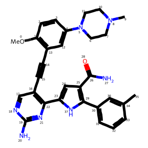 COc1ccc(N2CCN(C)CC2)cc1C#Cc1cnc(N)nc1-c1cc(C(N)=O)c(-c2cccc(C)c2)[nH]1